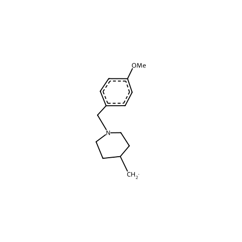 [CH2]C1CCN(Cc2ccc(OC)cc2)CC1